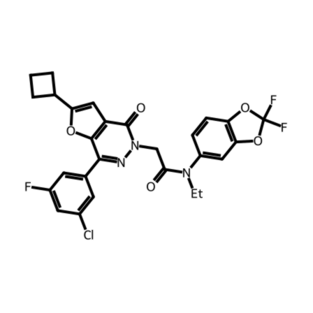 CCN(C(=O)Cn1nc(-c2cc(F)cc(Cl)c2)c2oc(C3CCC3)cc2c1=O)c1ccc2c(c1)OC(F)(F)O2